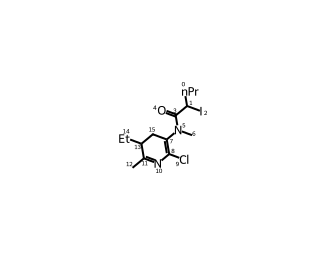 CCCC(I)C(=O)N(C)C1=C(Cl)N=C(C)C(CC)C1